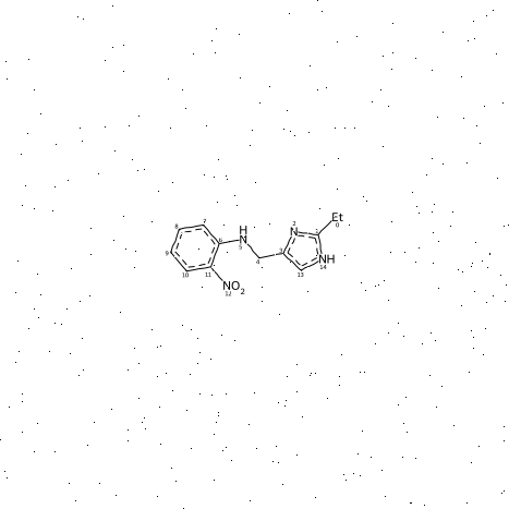 CCc1nc(CNc2ccccc2[N+](=O)[O-])c[nH]1